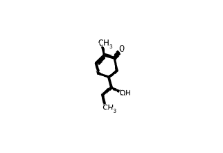 CCC(O)C1CC=C(C)C(=O)C1